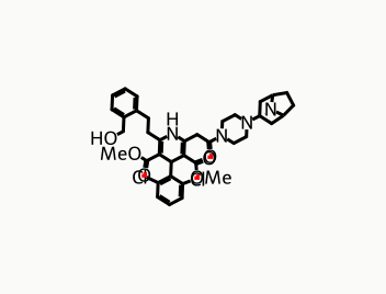 COC(=O)C1=C(CCc2ccccc2CO)NC(CC(=O)N2CCN(C3CC4CCC(C3)N4C)CC2)=C(C(=O)OC)C1c1c(Cl)cccc1Cl